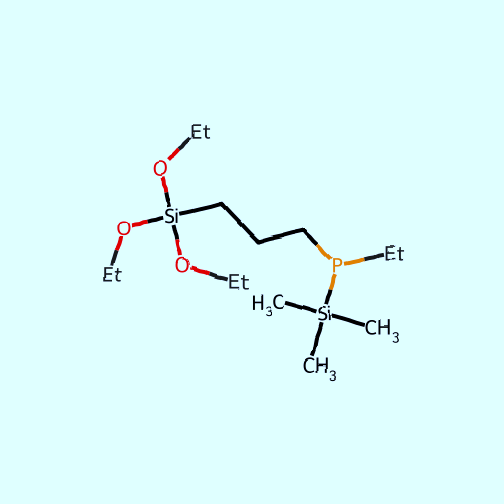 CCO[Si](CCCP(CC)[Si](C)(C)C)(OCC)OCC